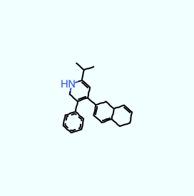 CC(C)C1=CC(C2=CC=C3CCC=CC3C2)=C(c2ccccc2)CN1